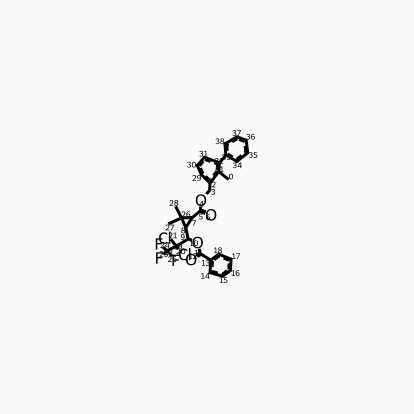 Cc1c(COC(=O)C2C(C(OC(=O)c3ccccc3)C(Cl)(Cl)C(F)(F)F)C2(C)C)cccc1-c1ccccc1